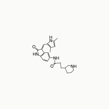 Cc1cc(C)c(C=C2C(=O)Nc3ccc(NC(=O)CCC4CCCNC4)cc32)[nH]1